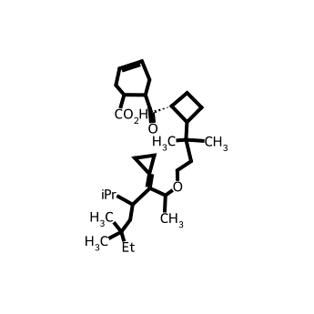 CCC(C)(C)CC(C(=C1CC1)C(C)OCCC(C)(C)C1CC[C@H]1C(=O)C1CC=CCC1C(=O)O)C(C)C